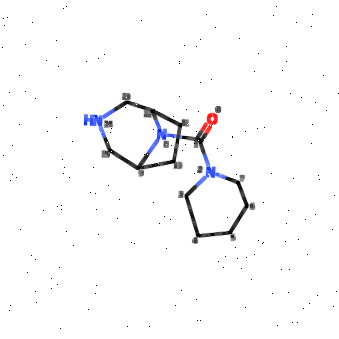 O=C(N1CCCCC1)N1C2CCC1CNC2